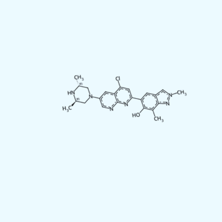 Cc1c(O)c(-c2cc(Cl)c3cc(N4C[C@@H](C)N[C@H](C)C4)cnc3n2)cc2cn(C)nc12